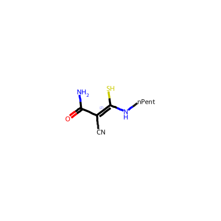 CCCCCN/C(S)=C(\C#N)C(N)=O